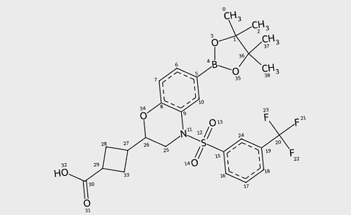 CC1(C)OB(c2ccc3c(c2)N(S(=O)(=O)c2cccc(C(F)(F)F)c2)CC(C2CC(C(=O)O)C2)O3)OC1(C)C